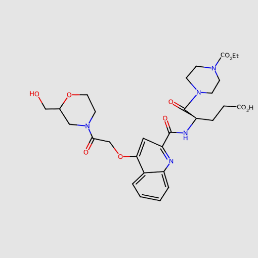 CCOC(=O)N1CCN(C(=O)C(CCC(=O)O)NC(=O)c2cc(OCC(=O)N3CCOC(CO)C3)c3ccccc3n2)CC1